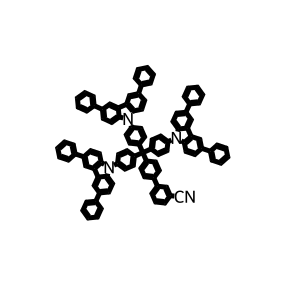 N#Cc1cccc(-c2ccc(C(c3ccc(-n4c5ccc(-c6ccccc6)cc5c5cc(-c6ccccc6)ccc54)cc3)(c3ccc(-n4c5ccc(-c6ccccc6)cc5c5cc(-c6ccccc6)ccc54)cc3)c3ccc(-n4c5ccc(-c6ccccc6)cc5c5cc(-c6ccccc6)ccc54)cc3)cc2)c1